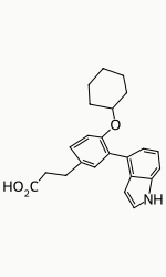 O=C(O)CCc1ccc(OC2CCCCC2)c(-c2cccc3[nH]ccc23)c1